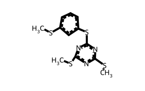 CSc1cccc(Sc2nc(SC)nc(SC)n2)c1